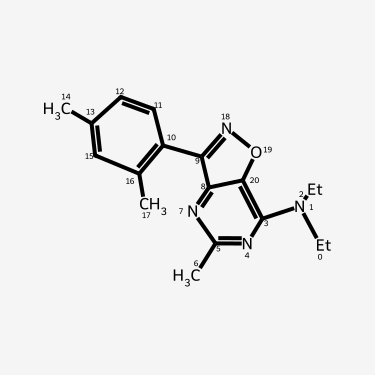 CCN(CC)c1nc(C)nc2c(-c3ccc(C)cc3C)noc12